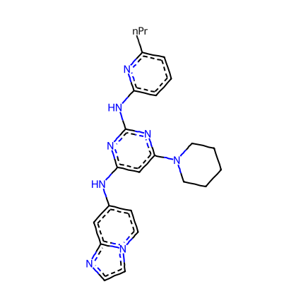 CCCc1cccc(Nc2nc(Nc3ccn4ccnc4c3)cc(N3CCCCC3)n2)n1